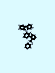 c1ccc2oc(-c3cccc4sc5c(-n6c7ccccc7c7ccccc76)cccc5c34)nc2c1